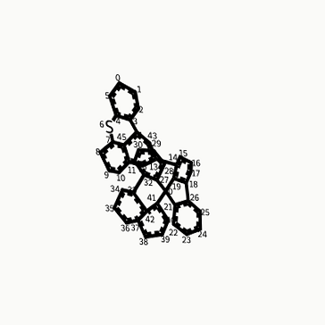 c1ccc2c(c1)Sc1cccc3cc(-c4cccc5c4C4(c6ccccc6-5)c5ccccc5-c5cccc6cccc4c56)cc-2c13